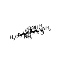 CSCCC(N)C(=O)NC(CCCNC(N)=O)C(=O)O